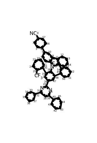 N#Cc1ccc(-c2ccc3c(c2)c2ccccc2n3-c2c(-c3ccccc3C(F)(F)F)cc(-c3nc(-c4ccccc4)cc(-c4ccccc4)n3)cc2-c2ccccc2C(F)(F)F)cc1